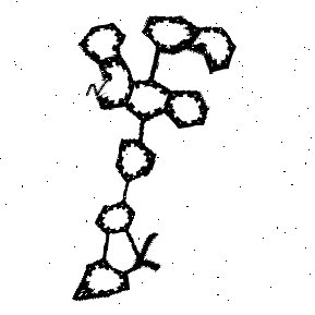 CC1(C)c2ccccc2-c2ccc(-c3ccc(-c4c5ccccc5c(-c5cccc6ccccc56)c5c4cnc4ccccc45)cc3)cc21